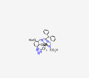 COc1ccc(-n2nnnc2C(F)(F)F)c(OC)c1CN1C[C@@H]2CN(C(=O)O)CCN2[C@H](C(c2ccccc2)c2ccccc2)C1